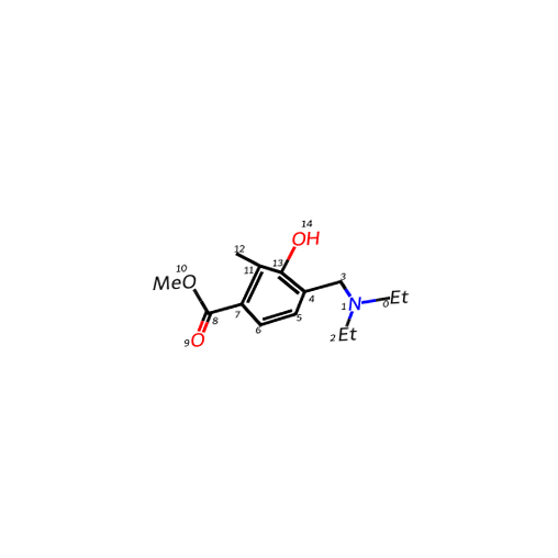 CCN(CC)Cc1ccc(C(=O)OC)c(C)c1O